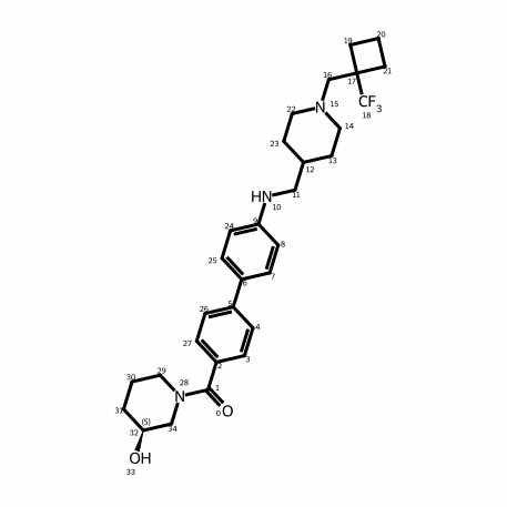 O=C(c1ccc(-c2ccc(NCC3CCN(CC4(C(F)(F)F)CCC4)CC3)cc2)cc1)N1CCC[C@H](O)C1